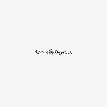 CC(C)CCCOCCOCCOCCNC(=O)CCCCCCCCOC(C)C